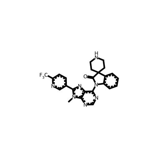 Cn1c(-c2ccc(C(F)(F)F)nc2)nc2c(N3C(=O)C4(CCNCC4)c4ccccc43)ncnc21